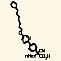 CCCCCC[C@](C#N)(C(=O)O)c1ccc(-c2ncc(OCCCCCCCC3CCCC3)cn2)cc1